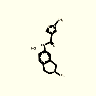 CN1CCc2ccc(NC(=O)c3cnn(C)c3)cc2C1.Cl